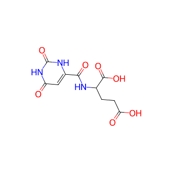 O=C(O)CCC(NC(=O)c1cc(=O)[nH]c(=O)[nH]1)C(=O)O